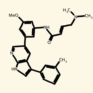 COc1cc(NC(=O)/C=C/CN(C)C)cc(-c2cnc3[nH]cc(-c4cccc(C)c4)c3c2)c1